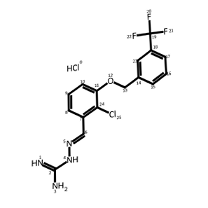 Cl.N=C(N)NN=Cc1cccc(OCc2cccc(C(F)(F)F)c2)c1Cl